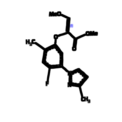 CO/C=C(\Oc1cc(-n2ccc(C)n2)c(F)cc1C)C(=O)OC